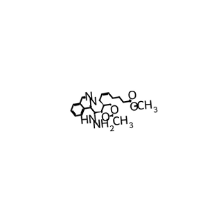 COC(=O)CCC/C=C\C[C@H]1CO[C@@H](C)O[C@H]1C(NN)c1nncc2ccccc12